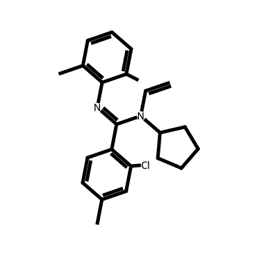 C=CN(/C(=N\c1c(C)cccc1C)c1ccc(C)cc1Cl)C1CCCC1